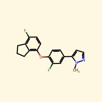 Cn1nccc1-c1ccc(Oc2ccc(F)c3c2CCC3)c(F)c1